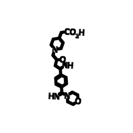 N=C(c1ccc(C2CC(CN3CCC(CC(=O)O)CC3)ON2)cc1)N1CCOCC1